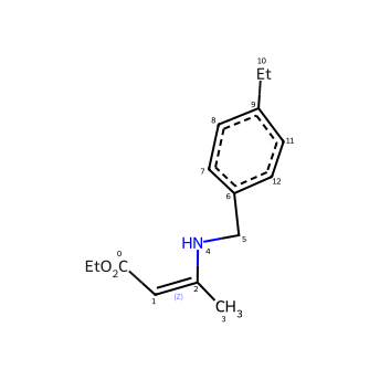 CCOC(=O)/C=C(/C)NCc1ccc(CC)cc1